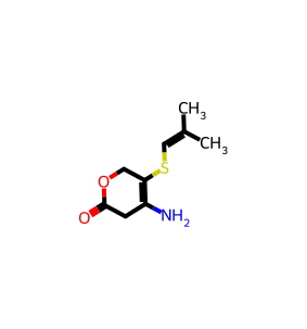 CC(C)=CSC1=C(N)CC(=O)OC1